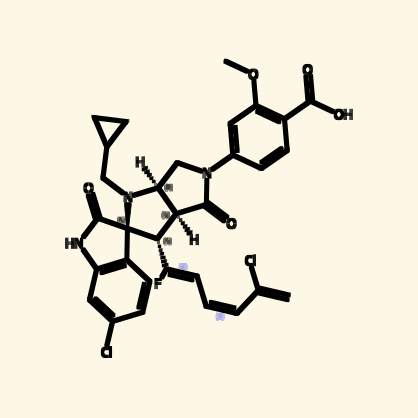 C=C(Cl)/C=C\C=C(/F)[C@H]1[C@@H]2C(=O)N(c3ccc(C(=O)O)c(OC)c3)C[C@@H]2N(CC2CC2)[C@@]12C(=O)Nc1cc(Cl)ccc12